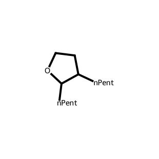 CCCCCC1CCOC1CCCCC